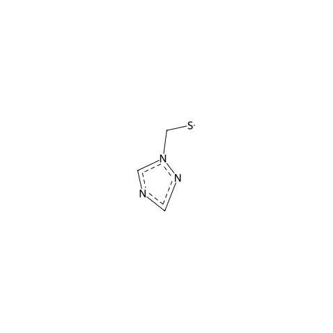 [S]Cn1cncn1